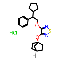 Cl.c1ccc(C(COc2nsnc2O[C@]23CC[C@@H](CC2)C3)C2CCCC2)cc1